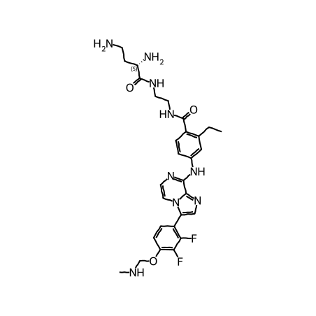 CCc1cc(Nc2nccn3c(-c4ccc(OCNC)c(F)c4F)cnc23)ccc1C(=O)NCCNC(=O)[C@@H](N)CCN